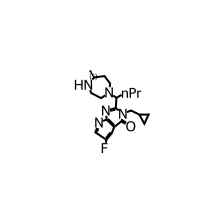 CCCC(c1nc2ncc(F)cc2c(=O)n1CC1CC1)N1CCN[C@@H](C)CC1